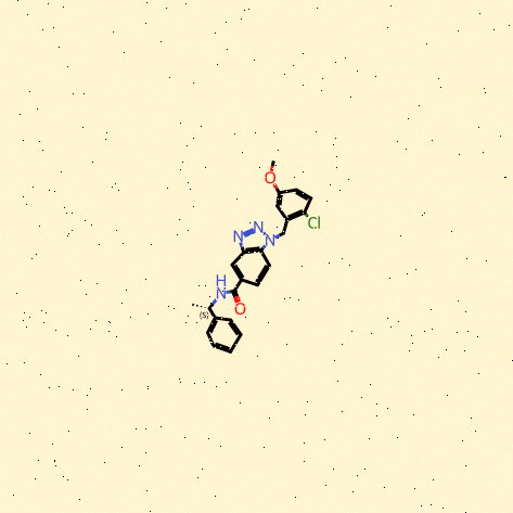 COc1ccc(Cl)c(Cn2nnc3cc(C(=O)N[C@@H](C)c4ccccc4)ccc32)c1